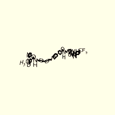 CN1C(=O)C[C@H](C(=O)NCCOCCOCCN2CCC([C@H]3CC[C@H](C(=O)NCCN4CC[C@H](Nc5ncnc6ccc(C(F)(F)F)cc56)C4=O)CC3)CC2)[C@H]1c1cccnc1